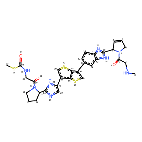 CNCC(=O)N1CC=CC1c1nc2ccc(-c3csc4c(-c5cnc(C6CCCN6C(=O)CNC(=O)SC)[nH]5)csc34)cc2[nH]1